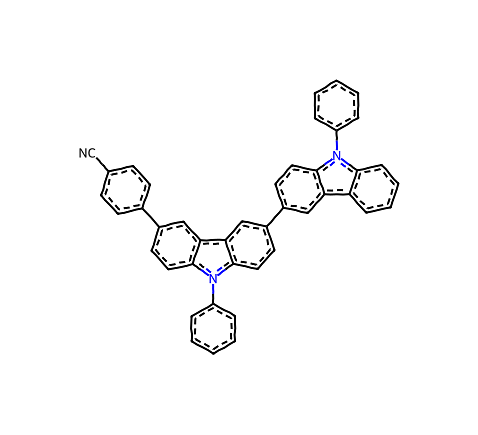 N#Cc1ccc(-c2ccc3c(c2)c2cc(-c4ccc5c(c4)c4ccccc4n5-c4ccccc4)ccc2n3-c2ccccc2)cc1